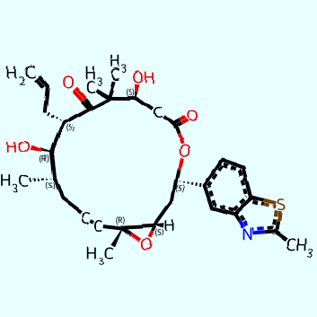 C=CC[C@@H]1C(=O)C(C)(C)[C@@H](O)CC(=O)O[C@H](c2ccc3sc(C)nc3c2)C[C@@H]2O[C@]2(C)CCC[C@H](C)[C@H]1O